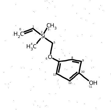 C=C[Si](C)(C)COc1ccc(O)cc1